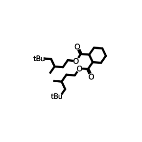 CC(CCOC(=O)C1CCCCC1C(=O)OCCC(C)CC(C)(C)C)CC(C)(C)C